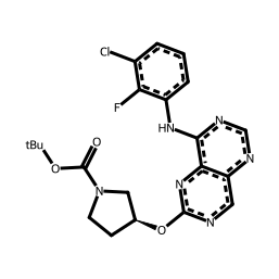 CC(C)(C)OC(=O)N1CC[C@H](Oc2ncc3ncnc(Nc4cccc(Cl)c4F)c3n2)C1